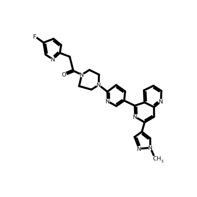 Cn1cc(-c2cc3ncccc3c(-c3ccc(N4CCN(C(=O)Cc5ccc(F)cn5)CC4)nc3)n2)cn1